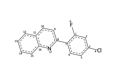 Fc1cc(Cl)ccc1-c1ccc2ccccc2n1